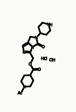 CC(=O)N1CCC(C(=O)OCc2ncc3n2C(=O)N(C2CCNCC2)C3)CC1.Cl.Cl